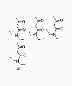 CCN(CC)C(=O)CC(C)=O.CCN(CC)C(=O)CC(C)=O.CCN(CC)C(=O)CC(C)=O.CCN(CC)C(=O)CC(C)=O.[Zr]